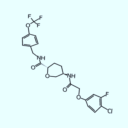 O=C(COc1ccc(Cl)c(F)c1)N[C@@H]1CC[C@@H](C(=O)NCc2ccc(OC(F)(F)F)cc2)OC1